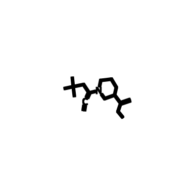 C=C=C(CC(C)(C)C)N1CCCC(C(=C)CC)C1